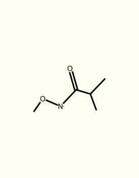 CO[N]C(=O)C(C)C